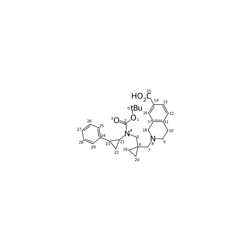 CC(C)(C)OC(=O)N(CC1(CN2CCc3ccc(C(=O)O)cc3C2)CC1)C1CC1c1ccccc1